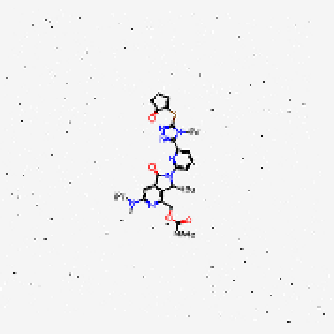 CNC(=O)OCc1nc(N(C)C(C)C)cc2c1C(C(C)(C)C)N(c1cccc(-c3nnc(SC4CCCC4=O)n3C(C)C)n1)C2=O